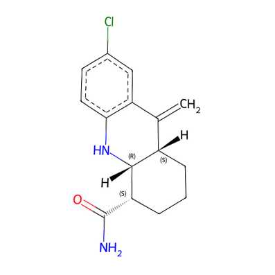 C=C1c2cc(Cl)ccc2N[C@H]2[C@@H](C(N)=O)CCC[C@@H]12